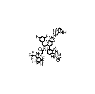 Cn1nc(NS(C)(=O)=O)c2cccc(-c3cc4sc(NCc5ncc[nH]5)nc4nc3[C@H](Cc3cc(F)cc(F)c3)NC(=O)Cn3nc(C(F)(F)F)c4c3C(F)(F)[C@@H]3C[C@H]43)c21